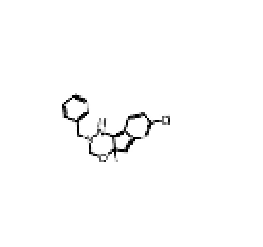 CC12C=c3cc(Cl)ccc3=C1NN(Cc1ccccc1)CO2